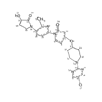 Cc1nc(-n2ccc(OC3CCN(c4ncc(Cl)cn4)CC3)cc2=O)ccc1N1CCC(O)C1=O